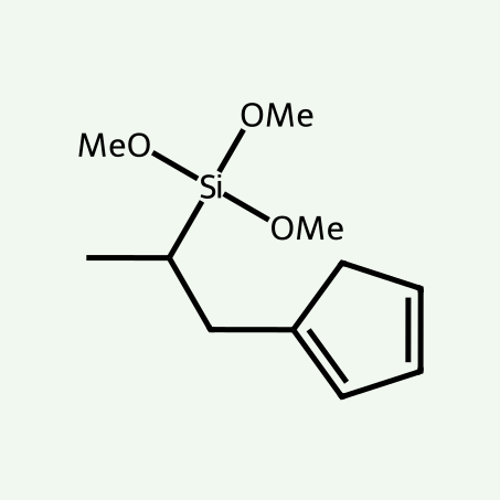 CO[Si](OC)(OC)C(C)CC1=CC=CC1